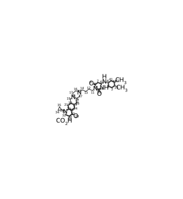 Cc1ccc(Nc2cc(=O)n(CCCCN3CCN(Cc4cc5c(cc4F)c(=O)c(C(=O)O)cn5C4CC4)CC3)c(=O)[nH]2)cc1C